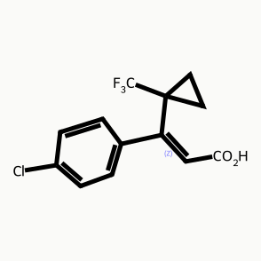 O=C(O)/C=C(/c1ccc(Cl)cc1)C1(C(F)(F)F)CC1